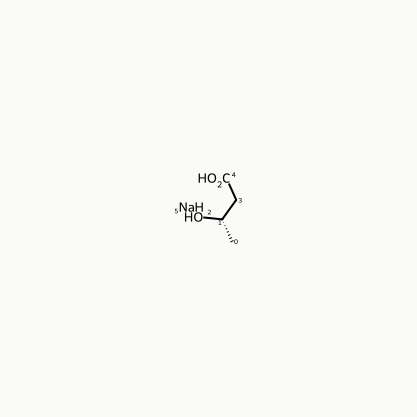 C[C@H](O)CC(=O)O.[NaH]